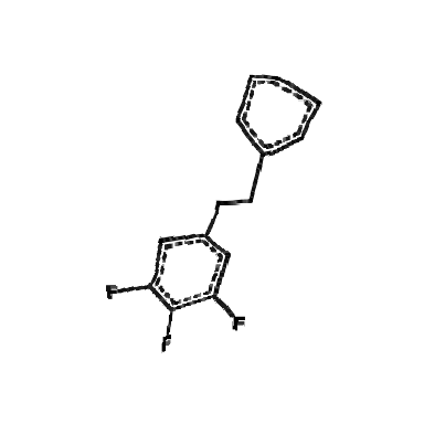 Fc1cc(CCc2ccccc2)cc(F)c1F